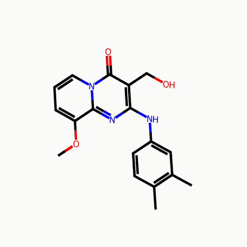 COc1cccn2c(=O)c(CO)c(Nc3ccc(C)c(C)c3)nc12